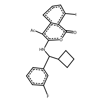 CC(=O)c1c(NC(c2cccc(F)c2)C2CCC2)oc(=O)c2c(I)cccc12